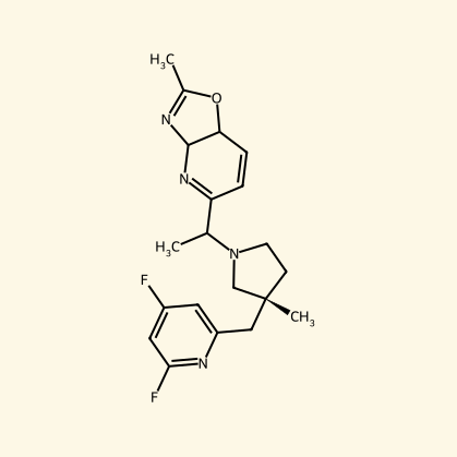 CC1=NC2N=C(C(C)N3CC[C@](C)(Cc4cc(F)cc(F)n4)C3)C=CC2O1